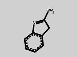 BC1=Nc2ccccc2C1